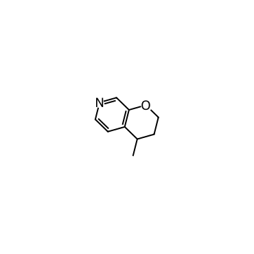 CC1CCOc2cnccc21